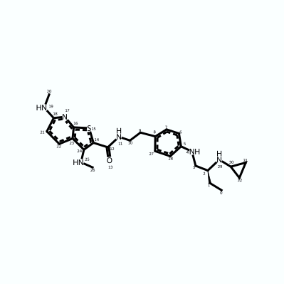 CC[C@@H](CNc1ccc(CCNC(=O)c2sc3nc(NC)ccc3c2NC)cc1)NC1CC1